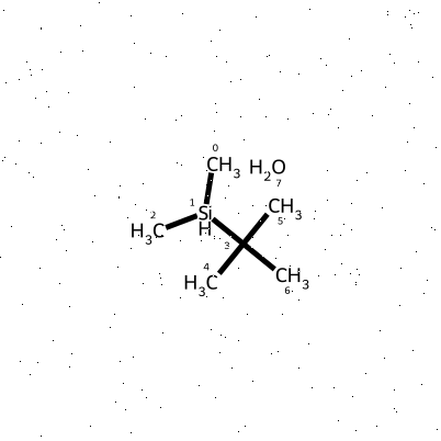 C[SiH](C)C(C)(C)C.O